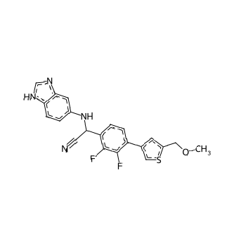 COCc1cc(-c2ccc(C(C#N)Nc3ccc4[nH]cnc4c3)c(F)c2F)cs1